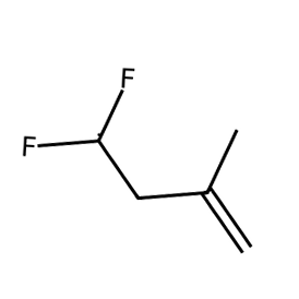 C=C(C)C[C](F)F